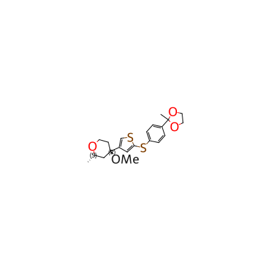 CO[C@]1(c2csc(Sc3ccc(C4(C)OCCO4)cc3)c2)CCO[C@@H](C)C1